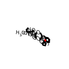 COc1ccnc(C(=O)N[C@H]2COC[C@H](Cc3ccccc3)[C@@H](OC3CCCC3)[C@H](C)OC2=O)c1O